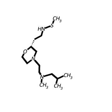 CSNCC[C@@H]1CN(CCN(C)CC(C)C)CCO1